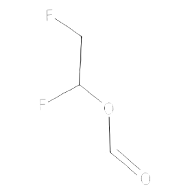 O=[C]OC(F)CF